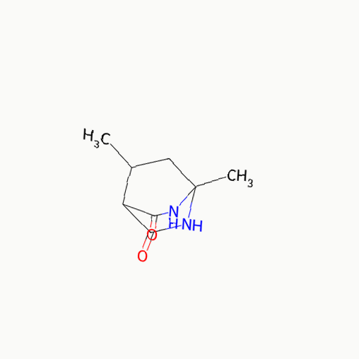 CC1CC2(C)NC(=O)C1C(=O)N2